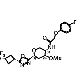 CO[C@H]1C[C@@H](c2nnc([C@H]3C[C@@H](OC(F)(F)F)C3)o2)OC[C@@H]1NC(=O)COc1ccc(F)cc1